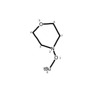 CC(C)(C)ON1CCOCC1